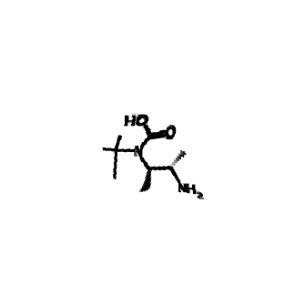 C[C@H](N)[C@@H](C)N(C(=O)O)C(C)(C)C